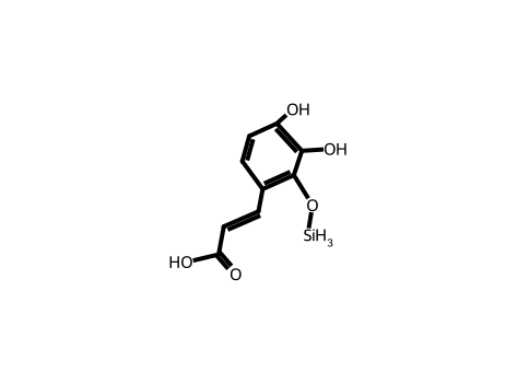 O=C(O)C=Cc1ccc(O)c(O)c1O[SiH3]